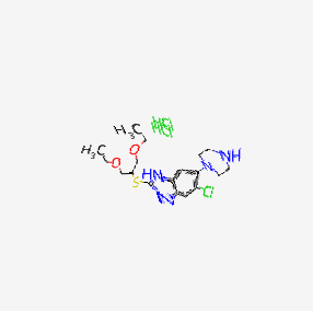 CCOCC(COCC)Sc1nc2cc(Cl)c(N3CCNCC3)cc2[nH]1.Cl.Cl